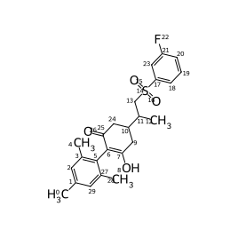 Cc1cc(C)c(C2=C(O)CC(C(C)CS(=O)(=O)c3cccc(F)c3)CC2=O)c(C)c1